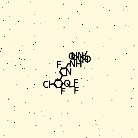 CC(=O)NNC(=O)NCc1ncc(-c2cc(Cl)cc(F)c2OCC(F)F)cc1F